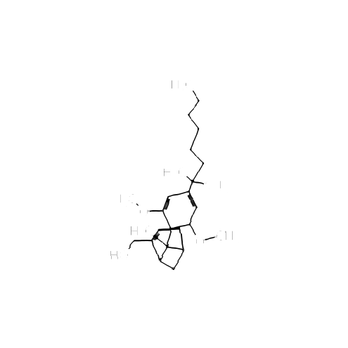 CCCCCCC(C)(C)C1=CC(OC)C(C2(C)C3CC=C(CO)C2C3)C(OC)=C1